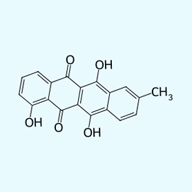 Cc1ccc2c(O)c3c(c(O)c2c1)C(=O)c1cccc(O)c1C3=O